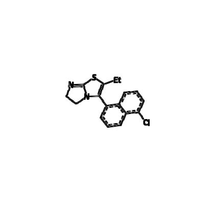 CCC1=C(c2cccc3c(Cl)cccc23)N2CCN=C2S1